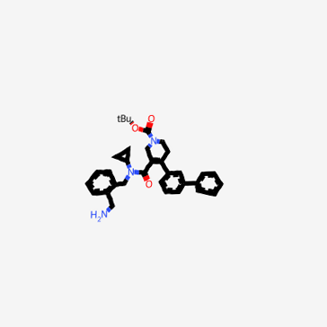 CC(C)(C)OC(=O)N1CCC(c2cccc(-c3ccccc3)c2)=C(C(=O)N(Cc2ccccc2CN)C2CC2)C1